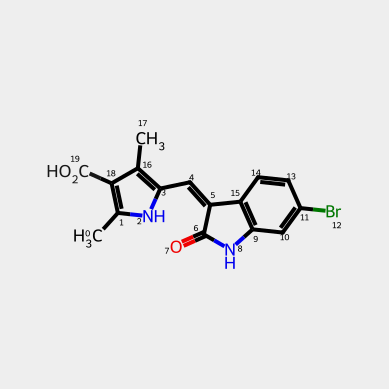 Cc1[nH]c(/C=C2\C(=O)Nc3cc(Br)ccc32)c(C)c1C(=O)O